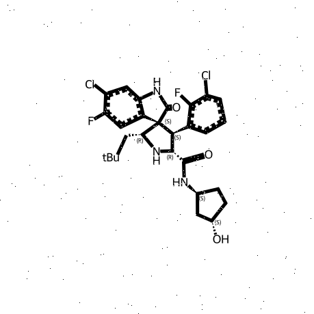 CC(C)(C)C[C@H]1N[C@@H](C(=O)N[C@H]2CC[C@H](O)C2)[C@H](c2cccc(Cl)c2F)[C@@]12C(=O)Nc1cc(Cl)c(F)cc12